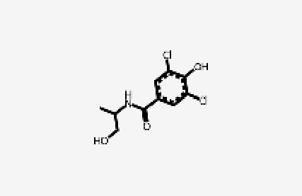 CC(CO)NC(=O)c1cc(Cl)c(O)c(Cl)c1